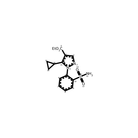 CCOC(=O)c1cnn(-c2ccccc2S(N)(=O)=O)c1C1CC1